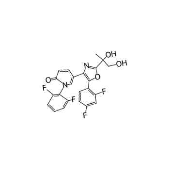 CC(O)(CO)c1nc(-c2ccc(=O)n(-c3c(F)cccc3F)c2)c(-c2ccc(F)cc2F)o1